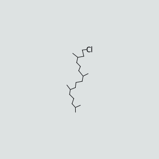 CC(C)CCCC(C)CCCC(C)CCCC(C)CCCl